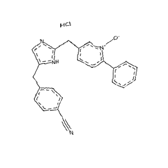 Cl.N#Cc1ccc(Cc2cnc(Cc3ccc(-c4ccccc4)[n+]([O-])c3)[nH]2)cc1